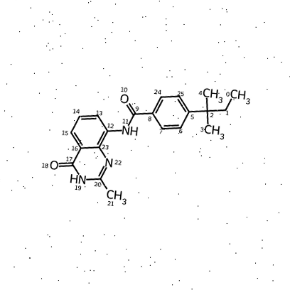 CCC(C)(C)c1ccc(C(=O)Nc2cccc3c(=O)[nH]c(C)nc23)cc1